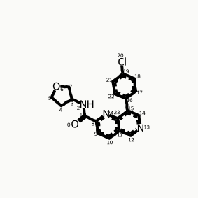 O=C(NC1CCOC1)c1ccc2cncc(-c3ccc(Cl)cc3)c2n1